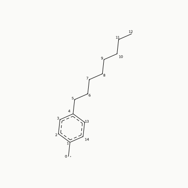 [CH2]c1ccc(CCCCCCCC)cc1